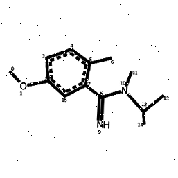 COc1ccc(C)c(C(=N)N(C)C(C)C)c1